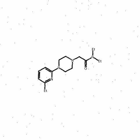 CCc1cccc(N2CCN(CC(=O)N(CC)CC)CC2)n1